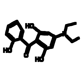 CCN(CC)c1cc(O)c(C(=O)c2ccccc2O)c(O)c1